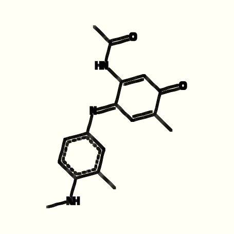 CNc1ccc(N=C2C=C(C)C(=O)C=C2NC(C)=O)cc1C